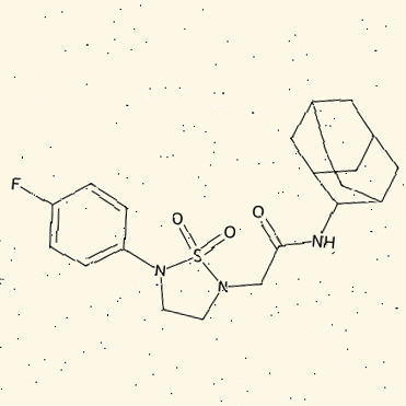 O=C(CN1CCN(c2ccc(F)cc2)S1(=O)=O)NC1C2CC3CC(C2)CC1C3